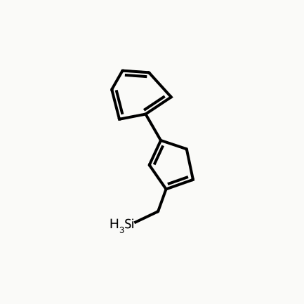 [SiH3]CC1=CCC(c2ccccc2)=C1